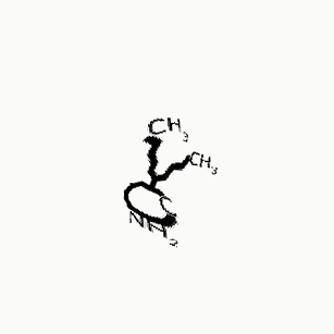 CCCCCCC(CCCCC)C1CCCCCC(N)CCCCC1